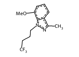 COc1cccc2c(C)nn(CCCC(F)(F)F)c12